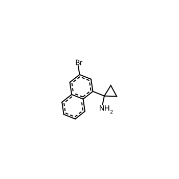 NC1(c2cc(Br)cc3ccccc23)CC1